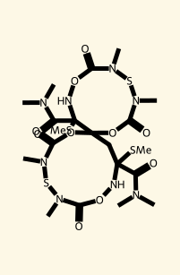 CSC1(C(=O)N(C)C)CC2(OC(=O)N(C)SN(C)C(=O)ON1)OC(=O)N(C)SN(C)C(=O)ONC2(SC)C(=O)N(C)C